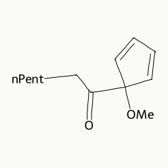 CCCCCCC(=O)C1(OC)C=CC=C1